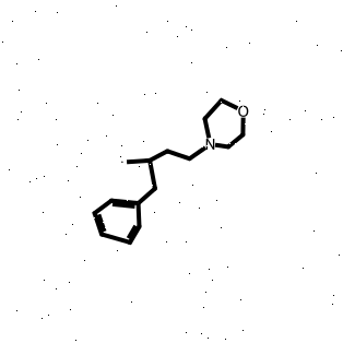 [CH2]C(CCN1CCOCC1)Cc1ccccc1